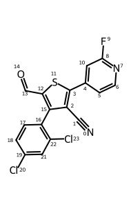 N#Cc1c(-c2ccnc(F)c2)sc(C=O)c1-c1ccc(Cl)cc1Cl